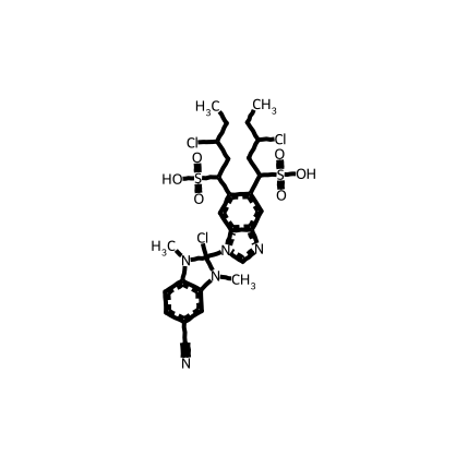 CCC(Cl)CC(c1cc2ncn(C3(Cl)N(C)c4ccc(C#N)cc4N3C)c2cc1C(CC(Cl)CC)S(=O)(=O)O)S(=O)(=O)O